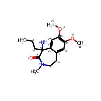 CCCC1(N)C(=O)N(C)CCc2cc(OC)c(OC)cc21